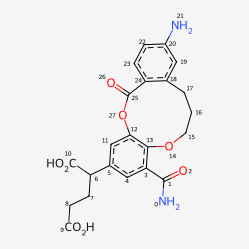 NC(=O)c1cc(C(CCC(=O)O)C(=O)O)cc2c1OCCCc1cc(N)ccc1C(=O)O2